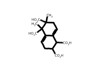 CC1(C(=O)O)CC=C2C(=CCC(C(=O)O)C2C(=O)O)C1(C)C(=O)O